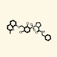 Cc1ccc2cccc(OCc3c(Cl)ccc(S(=O)(=O)N4CCCC4C(=O)NCc4ccccc4)c3Cl)c2n1